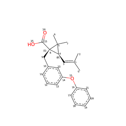 CC(C)=C[C@@H]1C(C)(C)[C@@]1(Cc1cccc(Oc2ccccc2)c1)C(=O)O